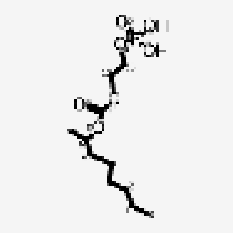 CCCCCCC(C)OC(=O)OCCOP(=O)(O)O